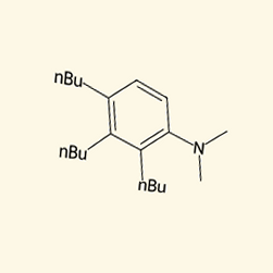 CCCCc1ccc(N(C)C)c(CCCC)c1CCCC